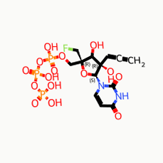 C=C=C[C@@]1(O)C(O)[C@@](CF)(COP(=O)(O)OP(=O)(O)OP(=O)(O)O)O[C@@H]1n1ccc(=O)[nH]c1=O